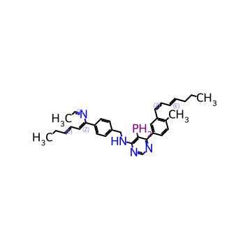 C\C=N/C(=C\C=C\CC)c1ccc(CNc2ncnc(-c3ccc(C)c(/C=C\C=C\CCC)c3)c2P)cc1